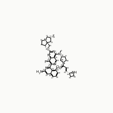 CN(c1nc(OC[C@@]23CCCN2C[C@H](F)C3)nc2c(F)c(-c3nc(N)cc4cccc(Cl)c34)ncc12)[C@@H]1CCN(C(=O)/C=C/[C@H]2CCN2)C1